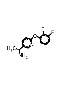 C[C@H](N)c1ccc(Oc2cccc(F)c2F)nc1